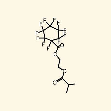 CC(C)C(=O)OCCOC(=O)C1(F)C(F)(F)C(F)(F)C(F)(F)C(F)(F)C1(F)F